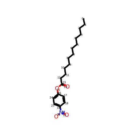 CCCCCCCCCCCCCC(=O)Oc1ccc([N+](=O)[O-])cc1